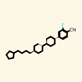 N#Cc1ccc([C@H]2CC[C@H]([C@H]3CC[C@H](CCCCC4CCCC4)CC3)CC2)cc1F